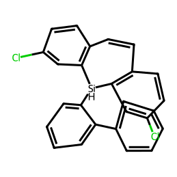 Clc1ccc2c(c1)[SiH](c1ccccc1-c1ccccc1)c1cc(Cl)ccc1C=C2